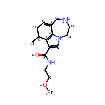 CCOCCNC(=O)c1cn2c3c1C(C)CC=C3CNCC2